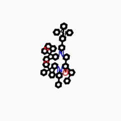 c1ccc(-c2ccc(N(c3cccc4c3-c3ccccc3C4(c3ccccc3)c3ccccc3)c3cc(-c4cccc(N(c5ccc(-c6ccc([Si](c7ccccc7)(c7ccccc7)c7ccccc7)cc6)cc5)c5ccc6c(c5)C(c5ccccc5)(c5cccc7ccccc57)c5ccccc5-6)c4)cc4c3oc3c(-c5ccccc5)cccc34)cc2)cc1